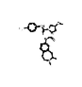 Bc1ccc(NC(=O)N2CC(OC)C[C@@H]2C(=O)Nc2ccc3c(c2)CC(C)N(C)CC3)cc1